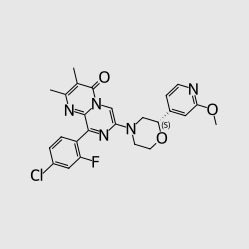 COc1cc([C@H]2CN(c3cn4c(=O)c(C)c(C)nc4c(-c4ccc(Cl)cc4F)n3)CCO2)ccn1